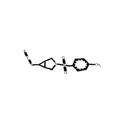 Cc1ccc(S(=O)(=O)N2CC3C(C2)C3N=C=S)cc1